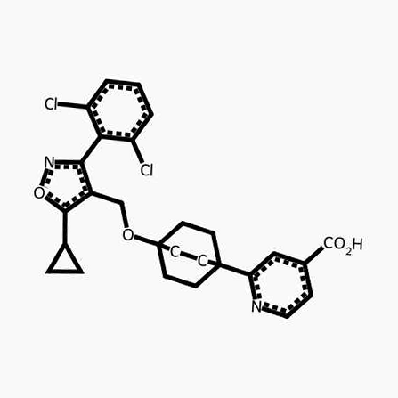 O=C(O)c1ccnc(C23CCC(OCc4c(-c5c(Cl)cccc5Cl)noc4C4CC4)(CC2)CC3)c1